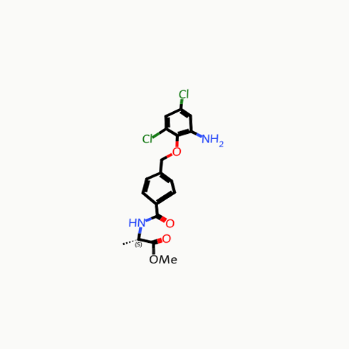 COC(=O)[C@H](C)NC(=O)c1ccc(COc2c(N)cc(Cl)cc2Cl)cc1